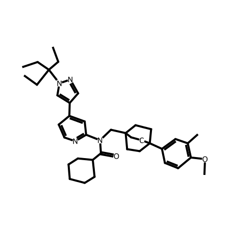 CCC(CC)(CC)n1cc(-c2ccnc(N(CC34CCC(c5ccc(OC)c(C)c5)(CC3)CC4)C(=O)C3CCCCC3)c2)cn1